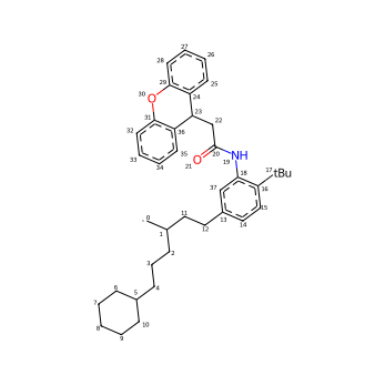 [CH2]C(CCCC1CCCCC1)CCc1ccc(C(C)(C)C)c(NC(=O)CC2c3ccccc3Oc3ccccc32)c1